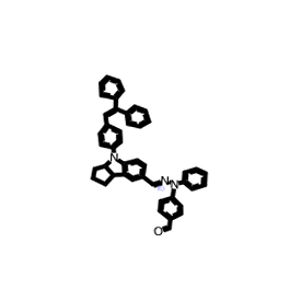 O=Cc1ccc(N(/N=C/c2ccc3c(c2)C2CCCC2N3c2ccc(C=C(c3ccccc3)c3ccccc3)cc2)c2ccccc2)cc1